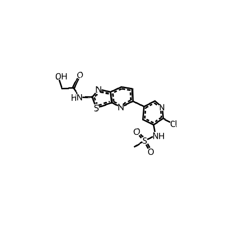 CS(=O)(=O)Nc1cc(-c2ccc3nc(NC(=O)CO)sc3n2)cnc1Cl